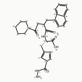 NNC(=O)n1cnc(C[C@H](NC(=O)C(CC(=O)N2CCCCC2)Cc2cccc3ccccc23)C(=O)O)c1